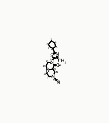 Cc1nc(C2CCCCC2)sc1N1CCN2CCN(C#N)CC2C1=O